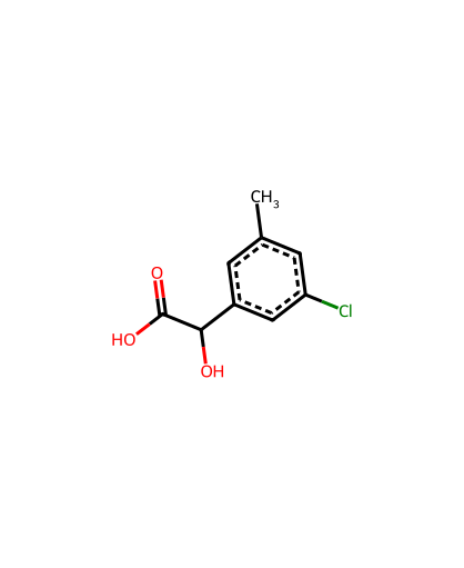 Cc1cc(Cl)cc(C(O)C(=O)O)c1